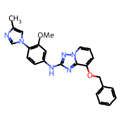 COc1cc(Nc2nc3c(OCc4ccccc4)cccn3n2)ccc1-n1cnc(C)c1